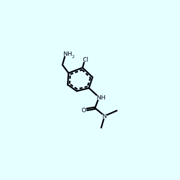 CN(C)C(=O)Nc1ccc(CN)c(Cl)c1